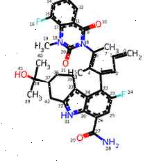 C=C/C=C(\C(C)=C(/C)n1c(=O)c2cccc(F)c2n(C)c1=O)c1c(F)cc(C(N)=O)c2[nH]c3c(c12)CC[C@H](C(C)(C)O)C3